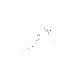 Cc1ncsc1-c1ccc(CNC(=O)[C@@H]2C[C@@H](O)CN2C(=O)[C@@H](NC(=O)COCCOc2ccc3c(c2)sc2nc(-c4ccc(NC(=O)Nc5cc(C(C)(C)C)on5)cc4)cn23)C(C)(C)C)cc1